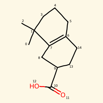 CC1(C)CCCC2=C1CC(C(=O)O)CC2